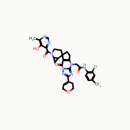 Cc1ncnc(C(=O)N2CCC3(CCc4c3c(=O)n3nc(C5=CCOCC5)nc3n4CC(=O)Nc3ccc(C(F)(F)F)cc3Cl)C3CC32)c1O